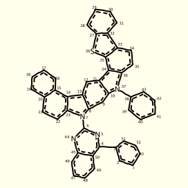 c1ccc(-c2nc(-n3c4cc5c(cc4c4c6ccccc6ccc43)c3c4sc6ccccc6c4ccc3n5-c3ccccc3)nc3ccccc23)cc1